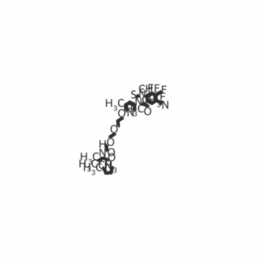 Cc1cc(N(C(=S)N(C)c2ccc(C#N)c(C(F)(F)F)c2F)C(C)(C)C=O)cnc1OCCCOCCOCC(=O)NC(C(=O)N1CCCC1C)C(C)(C)C